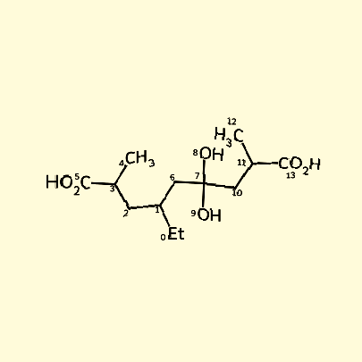 CCC(CC(C)C(=O)O)CC(O)(O)CC(C)C(=O)O